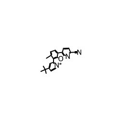 Cc1ccc2c(oc3nc(C#N)ccc32)c1-c1cc(C(C)(C)C)cc[n+]1C